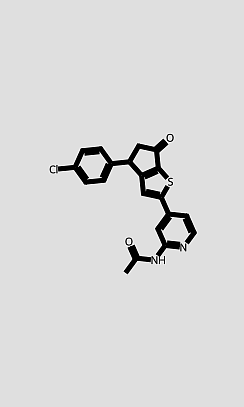 CC(=O)Nc1cc(-c2cc3c(s2)C(=O)CC3c2ccc(Cl)cc2)ccn1